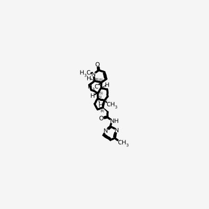 Cc1ccnc(NC(=O)C[C@H]2CC[C@H]3[C@@H]4CC[C@H]5N(C)C(=O)C=C[C@]5(C)[C@H]4CC[C@]23C)n1